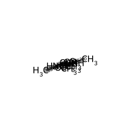 CCCCCCCCNC(=O)CCCC(C)(C)c1cc(OC)c(C(C)(C)CCCC(=O)NCCCCCCCC)cc1O